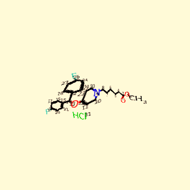 COC(=O)CCCCCN1CCC(OC(c2ccc(F)cc2)c2ccc(F)cc2)CC1.Cl